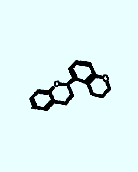 [c]1ccc2c(c1)CCC(c1cccc3c1CCCO3)O2